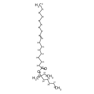 CCCCCCCCC=CCCCCCCCC(=O)OC(C)(CC)CCCCC